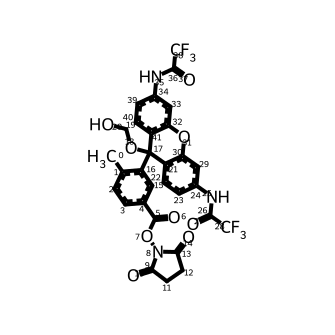 Cc1ccc(C(=O)ON2C(=O)CCC2=O)cc1C1(OCO)c2ccc(NC(=O)C(F)(F)F)cc2Oc2cc(NC(=O)C(F)(F)F)ccc21